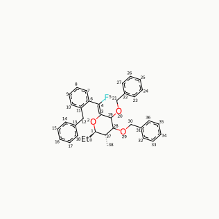 CC[C@H]1OC(=C(F)c2ccccc2Cc2ccccc2)C(OCc2ccccc2)C(OCc2ccccc2)[C@@H]1C